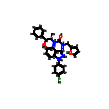 C[C@H](NC(=O)NCc1ccco1)[C@H](Oc1ccc2c(cnn2-c2ccc(F)cc2)c1)c1ccccc1